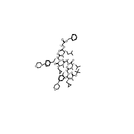 CC(C)CC[C@@H](C(=O)O[C@H](C)C(=O)OCc1ccccc1)N(C)C(=O)[C@@H](CCc1ccc(N2CCOCC2)cc1)OC(=O)[C@H](CC1CC1)N(C)C(=O)[C@@H](C)OC(=O)[C@H](CC(C)C)N(C)C(=O)[C@@H](Cc1ccc(N2CCOCC2)cc1)OC(=O)[C@H](CC1CC1)N(C)C(=O)OC(C)(C)C